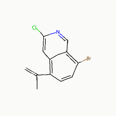 C=C(C)c1ccc(Br)c2cnc(Cl)cc12